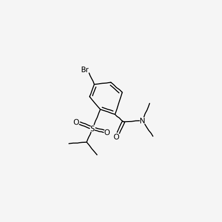 CC(C)S(=O)(=O)c1cc(Br)ccc1C(=O)N(C)C